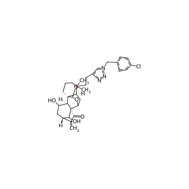 C=C1C(=O)[C@@]23C4C[C@@H]5C(C)(C)CCC[C@]5(C(OCCc5cn(Cc6ccc(Cl)cc6)nn5)O4)[C@@H]2C(O)C[C@@H]1C3O